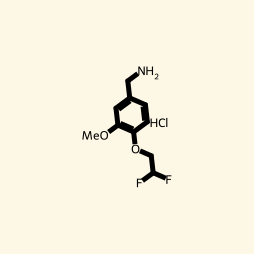 COc1cc(CN)ccc1OCC(F)F.Cl